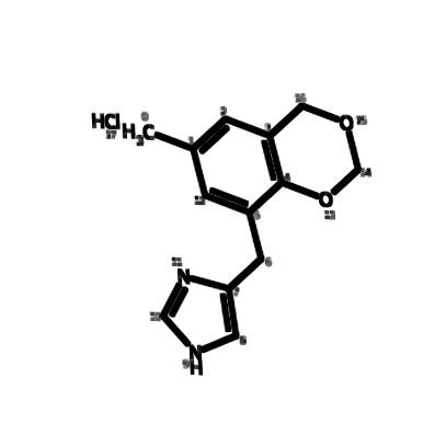 Cc1cc2c(c(Cc3c[nH]cn3)c1)OCOC2.Cl